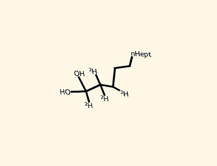 [2H]C(CCCCCCCCC)C([2H])([2H])C([2H])(O)O